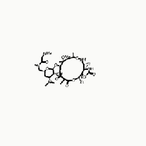 CC[C@H]1OC(=O)C(C)C(=O)[C@H](C)[C@@H](O[C@@H]2O[C@H](CN(C)C(=O)CNC)C[C@H](N(C)C)[C@H]2O)[C@](C)(OC)C[C@@H](C)CN[C@H](C)[C@H]2NC(=O)O[C@@]21C